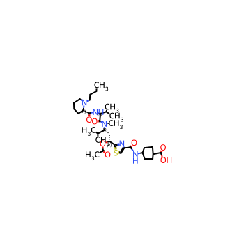 CCCCN1CCCC[C@@H]1C(=O)N[C@H](C(=O)N(C)[C@H](C[C@@H](OC(C)=O)c1nc(C(=O)NC2CCC(C(=O)O)CC2)cs1)C(C)C)C(C)C